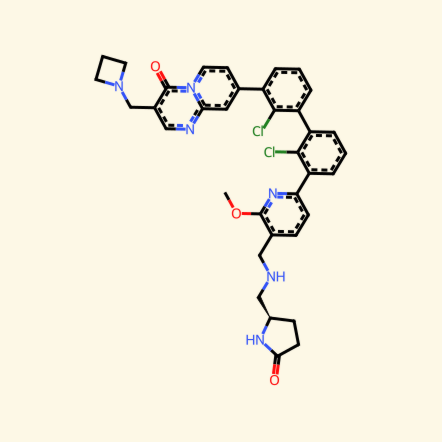 COc1nc(-c2cccc(-c3cccc(-c4ccn5c(=O)c(CN6CCC6)cnc5c4)c3Cl)c2Cl)ccc1CNC[C@H]1CCC(=O)N1